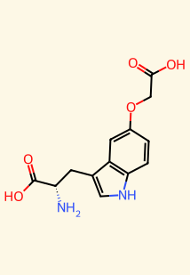 N[C@@H](Cc1c[nH]c2ccc(OCC(=O)O)cc12)C(=O)O